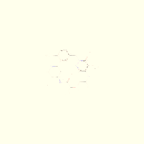 COc1ccc(Cn2ncc(NC(C)COC(C)C(=O)N[C@@H]3CCNC[C@H]3O)c(C(F)(F)F)c2=O)cc1